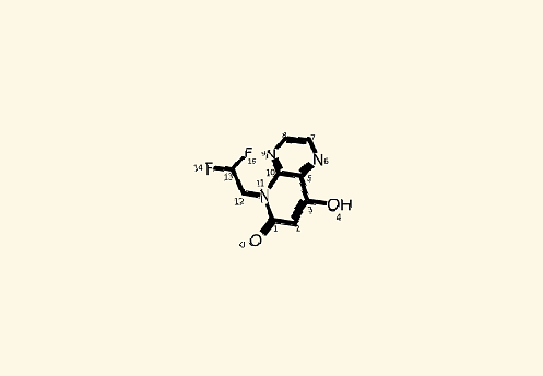 O=c1cc(O)c2nccnc2n1CC(F)F